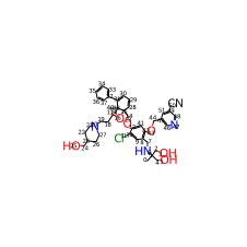 CC(CO)(CO)NCc1cc(Cl)c(OCC2(OCCCN3CCC(CO)CC3)C=CC=C(c3ccccc3)C2(C)C)cc1OCc1cncc(C#N)c1